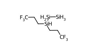 FC(F)(F)CC[SiH](CCC(F)(F)F)[SiH2][SiH3]